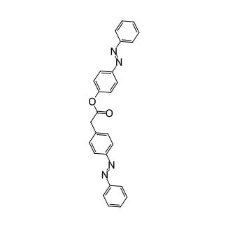 O=C(Cc1ccc(/N=N/c2ccccc2)cc1)Oc1ccc(/N=N/c2ccccc2)cc1